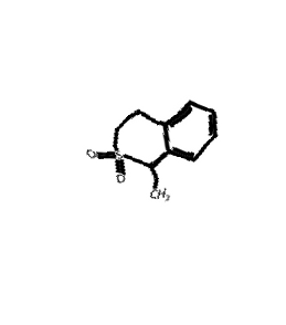 CC1c2ccccc2CCS1(=O)=O